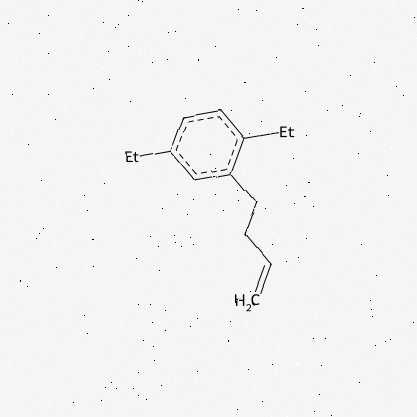 C=CCCc1cc(CC)ccc1CC